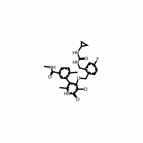 CNC(=O)c1ccc(C)c(-c2c(C)[nH]c(=O)c(Cl)c2OCc2ccc(F)cc2CNC(=O)NC2CC2)c1